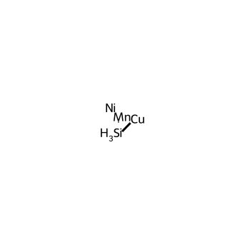 [Mn].[Ni].[SiH3][Cu]